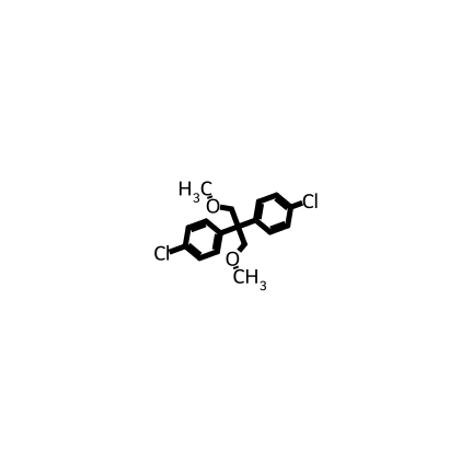 COCC(COC)(c1ccc(Cl)cc1)c1ccc(Cl)cc1